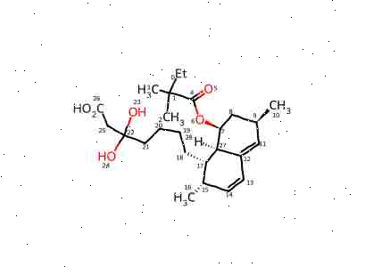 CCC(C)(C)C(=O)O[C@H]1C[C@@H](C)C=C2C=C[C@H](C)[C@H](CCCCC(O)(O)CC(=O)O)[C@H]21